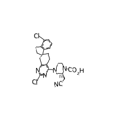 N#CC[C@H]1CN(c2nc(Cl)nc3c2CCC2(CCc4c(Cl)cccc42)C3)CCN1C(=O)O